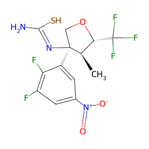 C[C@@H]1[C@@H](C(F)(F)F)OC[C@@]1(/N=C(/N)S)c1cc([N+](=O)[O-])cc(F)c1F